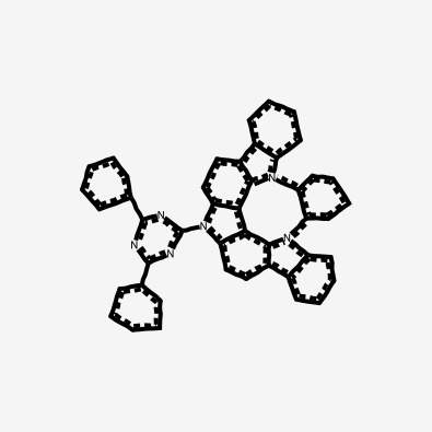 c1ccc(-c2nc(-c3ccccc3)nc(-n3c4ccc5c6ccccc6n6c7ccccc7n7c8ccccc8c8ccc3c(c4c56)c87)n2)cc1